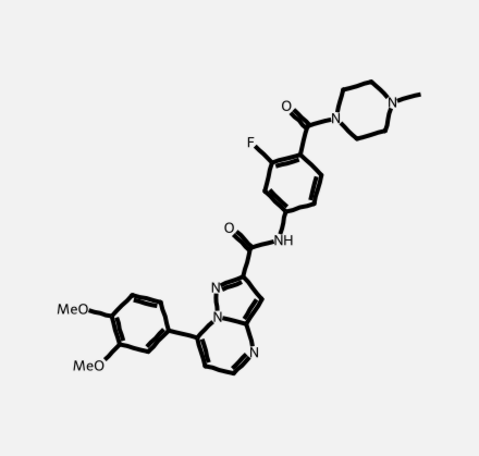 COc1ccc(-c2ccnc3cc(C(=O)Nc4ccc(C(=O)N5CCN(C)CC5)c(F)c4)nn23)cc1OC